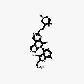 CN1CCC(F)(F)C(COc2ncc3c4c(c(-c5ncc(F)c6sc(NC(=O)O)c(C#N)c56)c(F)c3n2)COC4)C1